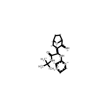 CC(C)(C)NC(=O)/C(Nc1cnccn1)=C1\CC2CCC(O2)C1=N